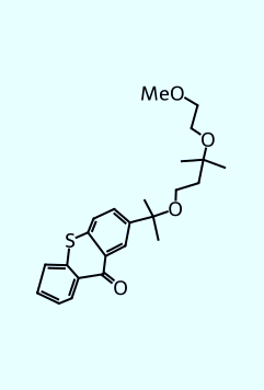 COCCOC(C)(C)CCOC(C)(C)c1ccc2sc3ccccc3c(=O)c2c1